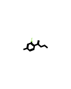 C=C(CCC)c1ccc(C)cc1F